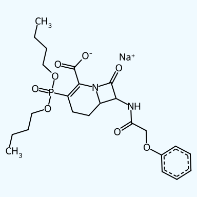 CCCCOP(=O)(OCCCC)C1=C(C(=O)[O-])N2C(=O)C(NC(=O)COc3ccccc3)C2CC1.[Na+]